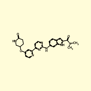 CN(C)C(=O)c1cc2ccc(Nc3nccc(-c4cc(OC5CCC(=O)NC5)ccn4)n3)cc2[nH]1